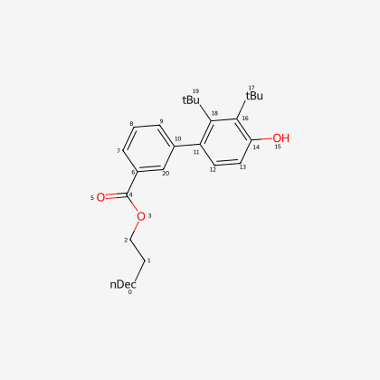 CCCCCCCCCCCCOC(=O)c1cccc(-c2ccc(O)c(C(C)(C)C)c2C(C)(C)C)c1